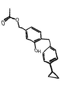 CC(=O)OCc1ccc(Cc2ccc(C3CC3)cc2)c(O)c1